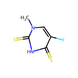 Cn1cc(F)c(=S)[nH]c1=S